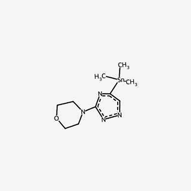 [CH3][Sn]([CH3])([CH3])[c]1cnnc(N2CCOCC2)n1